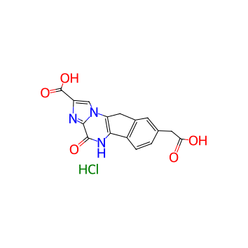 Cl.O=C(O)Cc1ccc2c(c1)Cc1c-2[nH]c(=O)c2nc(C(=O)O)cn12